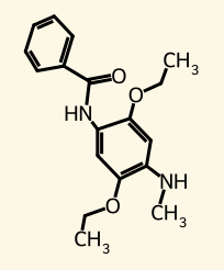 CCOc1cc(NC(=O)c2ccccc2)c(OCC)cc1NC